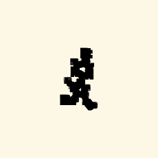 C#CC1=CN(c2ncc(CC)cn2)N(C)C1C(C)CC